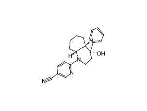 N#Cc1ccc(N2CC[C@](O)(c3ccccc3)[C@H]3CCCC[C@H]32)nc1